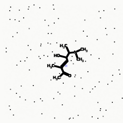 CC(=O)/C(C)=C/C(O)C(C)N(C)C